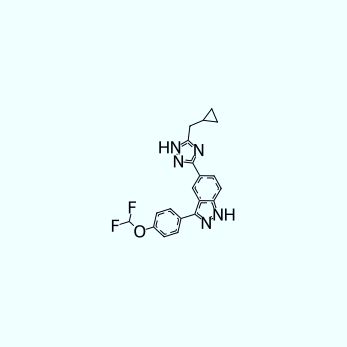 FC(F)Oc1ccc(-c2n[nH]c3ccc(-c4n[nH]c(CC5CC5)n4)cc23)cc1